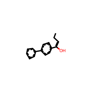 CC/C=C(/O)c1ccc(-c2ccccc2)cc1